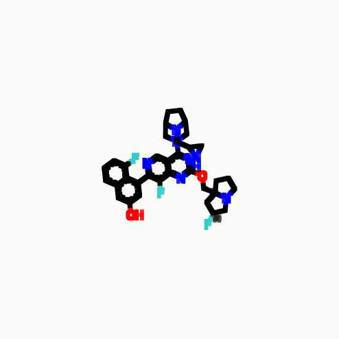 Oc1cc(-c2ncc3c(N4CC5CCC(C4)N5CC4CN4)nc(OC[C@@]45CCCN4C[C@H](F)C5)nc3c2F)c2c(F)cccc2c1